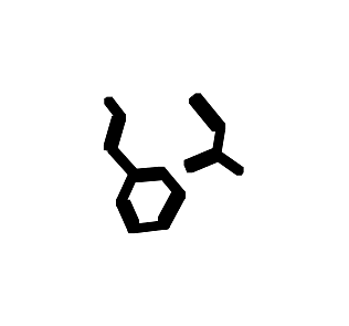 C=CC(=C)C.CC=Cc1ccccc1